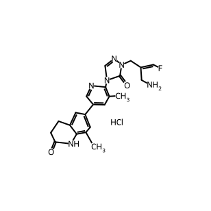 Cc1cc(-c2cc(C)c3c(c2)CCC(=O)N3)cnc1-n1cnn(C/C(=C/F)CN)c1=O.Cl